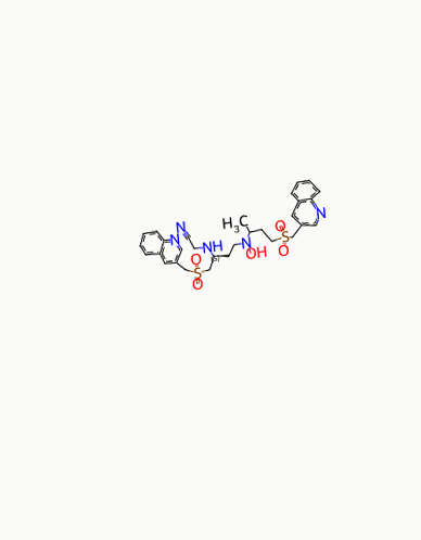 CC(CCS(=O)(=O)Cc1cnc2ccccc2c1)N(O)CC[C@@H](CS(=O)(=O)Cc1cnc2ccccc2c1)NCC#N